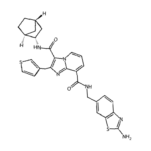 Nc1nc2ccc(CNC(=O)c3cccn4c(C(=O)N[C@H]5C[C@H]6CC[C@H]5C6)c(-c5ccsc5)nc34)cc2s1